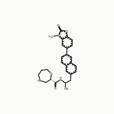 Cn1c(=O)oc2ccc(-c3ccc4cc(CC(C#N)NC(=O)[C@@H]5CNCCCO5)ccc4c3)cc21